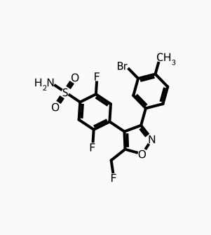 Cc1ccc(-c2noc(CF)c2-c2cc(F)c(S(N)(=O)=O)cc2F)cc1Br